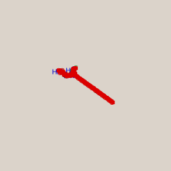 COCCOCCOCCOCCOCCOCCOCCOCCOCCOCCOCCOCCOCCOCCOCCOCCOCCOCCOCCOCCOCCOCCOC(C)(Cn1cc(C(=O)c2c(F)ccc(NS(=O)(=O)N3CC[C@@H](F)C3)c2F)c2cc(-c3ccc(N4CCN(CC5CCN(c6ccc7c(c6)CN(C6CCC(=O)NC6=O)C7=O)CC5)CC4)cc3)cnc21)C(=O)O